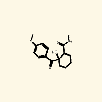 CNC(=O)C1CCCCC1(O)C(=O)c1ccc(OC)cc1